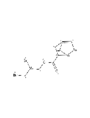 O=C(OCC(Br)CBr)C1CC2=CCC1C2